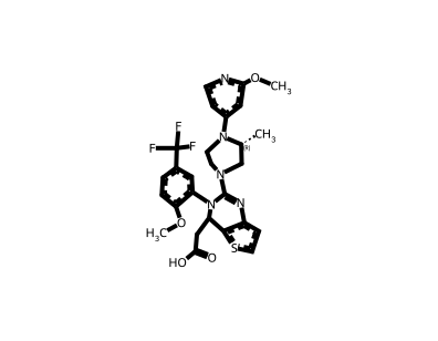 COc1cc(N2CCN(C3=Nc4ccsc4C(CC(=O)O)N3c3cc(C(F)(F)F)ccc3OC)C[C@H]2C)ccn1